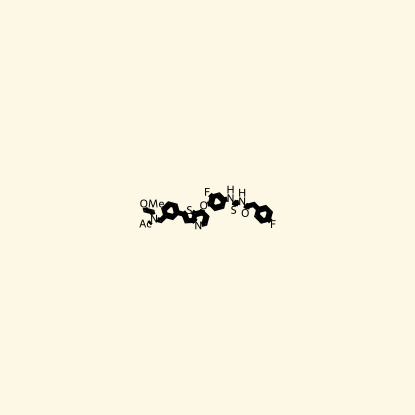 COCCN(Cc1cccc(-c2cc3nccc(Oc4ccc(NC(=S)NC(=O)Cc5ccc(F)cc5)cc4F)c3s2)c1)C(C)=O